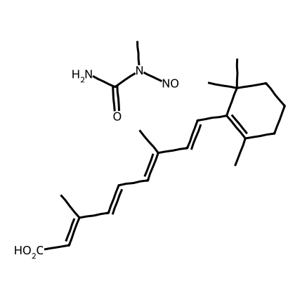 CC1=C(/C=C/C(C)=C/C=C/C(C)=C/C(=O)O)C(C)(C)CCC1.CN(N=O)C(N)=O